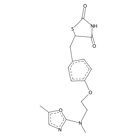 Cc1cnc(N(C)CCOc2ccc(CC3SC(=O)NC3=O)cc2)o1